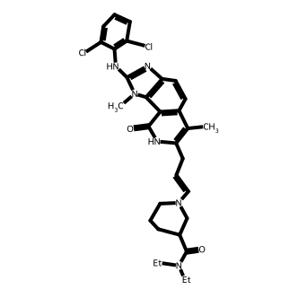 CCN(CC)C(=O)C1CCCN(/C=C/Cc2[nH]c(=O)c3c(ccc4nc(Nc5c(Cl)cccc5Cl)n(C)c43)c2C)C1